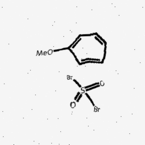 COc1ccccc1.O=S(=O)(Br)Br